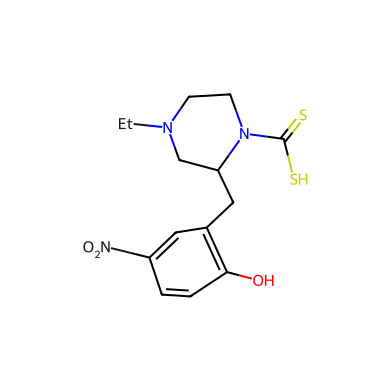 CCN1CCN(C(=S)S)C(Cc2cc([N+](=O)[O-])ccc2O)C1